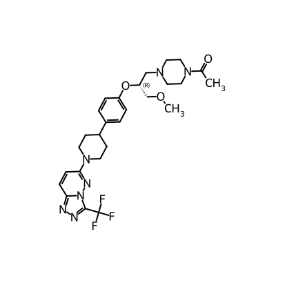 COC[C@@H](CN1CCN(C(C)=O)CC1)Oc1ccc(C2CCN(c3ccc4nnc(C(F)(F)F)n4n3)CC2)cc1